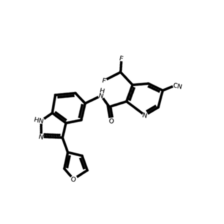 N#Cc1cnc(C(=O)Nc2ccc3[nH]nc(-c4ccoc4)c3c2)c(C(F)F)c1